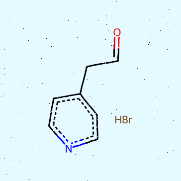 Br.O=CCc1ccncc1